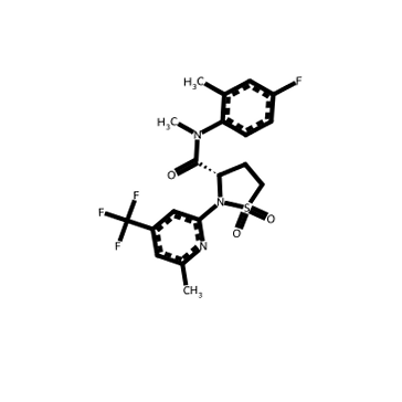 Cc1cc(C(F)(F)F)cc(N2[C@H](C(=O)N(C)c3ccc(F)cc3C)CCS2(=O)=O)n1